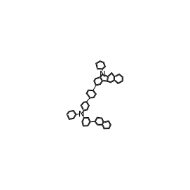 c1ccc(N(c2ccc(-c3ccc(-c4ccc5c(c4)c4cc6ccccc6cc4n5-c4ccccc4)cc3)cc2)c2cccc(-c3ccc4ccccc4c3)c2)cc1